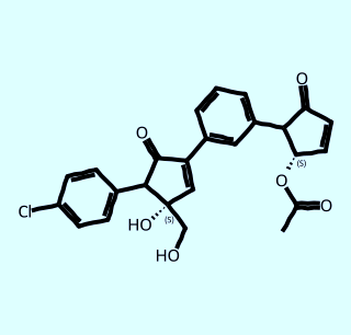 CC(=O)O[C@H]1C=CC(=O)C1c1cccc(C2=C[C@@](O)(CO)C(c3ccc(Cl)cc3)C2=O)c1